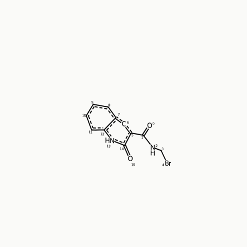 O=C(NCBr)c1cc2ccccc2[nH]c1=O